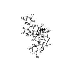 COc1c(C(C)(C)C)cc2c(c1-c1cc(C)cc(C)c1)C=C(C)[CH]2[Zr]([CH3])([CH3])(=[SiH2])[C]1=C(C)C=C2C1=CC1=C(CCC1)C2c1cc(C)cc(C)c1.Cl.Cl